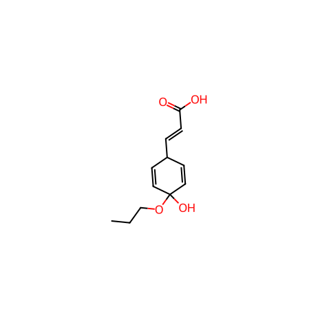 CCCOC1(O)C=CC(/C=C/C(=O)O)C=C1